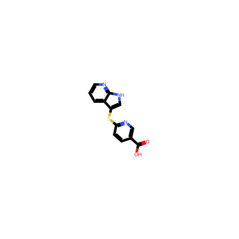 O=C(O)c1ccc(Sc2c[nH]c3ncccc23)nc1